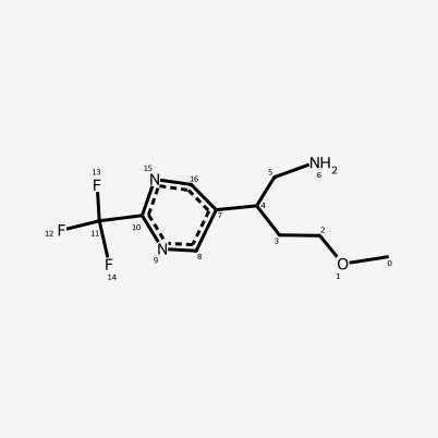 COCCC(CN)c1cnc(C(F)(F)F)nc1